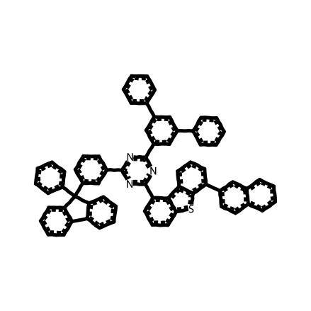 c1ccc(-c2cc(-c3ccccc3)cc(-c3nc(-c4cccc(C5(c6ccccc6)c6ccccc6-c6ccccc65)c4)nc(-c4cccc5sc6c(-c7ccc8ccccc8c7)cccc6c45)n3)c2)cc1